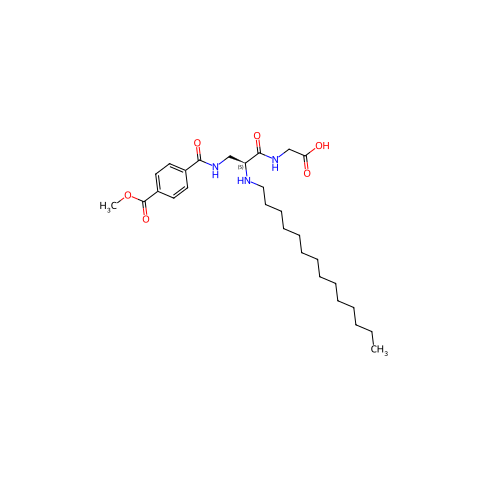 CCCCCCCCCCCCCCN[C@@H](CNC(=O)c1ccc(C(=O)OC)cc1)C(=O)NCC(=O)O